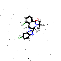 [2H]C([2H])([2H])N1C(=O)c2cccc(F)c2[C@H]2C[C@@H]1c1nc3ccc(Cl)cc3n12